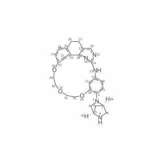 c1cc(N2C[C@H]3C[C@@H]2CN3)c2cc1Nc1ncc3c(n1)-c1cc(ccc1CC3)OCCOCCO2